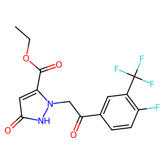 CCOC(=O)c1cc(=O)[nH]n1CC(=O)c1ccc(F)c(C(F)(F)F)c1